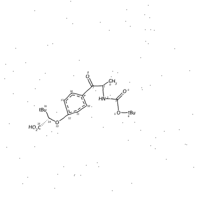 CC(NC(=O)OC(C)(C)C)C(=O)c1ccc(O[C@H](C(=O)O)C(C)(C)C)cc1